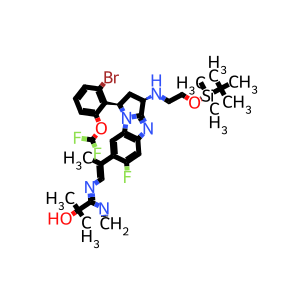 C=N/C(=N\C=C(/C)c1cc2c(cc1F)nc1n2[C@@H](c2c(Br)cccc2OC(F)F)C[C@H]1NCCO[Si](C)(C)C(C)(C)C)C(C)(C)O